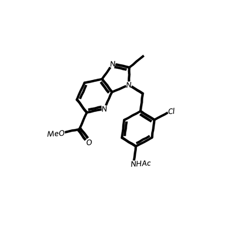 COC(=O)c1ccc2nc(C)n(Cc3ccc(NC(C)=O)cc3Cl)c2n1